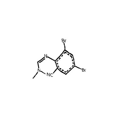 CN(C)/C=N\c1c(Br)cc(Br)cc1C#N